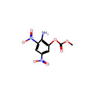 COC(=O)Oc1cc([N+](=O)[O-])cc([N+](=O)[O-])c1N